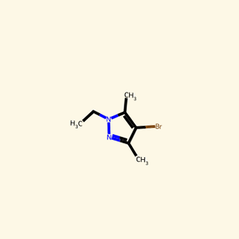 CCn1nc(C)c(Br)c1C